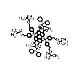 C=C(C)C(=O)OCCc1ccc(Oc2cc3c4c(cc(Oc5ccc(CCOC(=O)C(=C)C)cc5)c5c6c(Oc7ccc(CCOC(=O)C(=C)C)cc7)cc7c8c(cc(Oc9ccc(CCOC(=O)C(=C)C)cc9)c(c2c45)c86)C(=O)N(C(CC)C(=O)N(C2CCCCC2)C2CCCCC2)C7=O)C(=O)N(C(CC)C(=O)N(C2CCCCC2)C2CCCCC2)C3=O)cc1